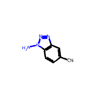 N#Cc1ccc2c(c1)nnn2N